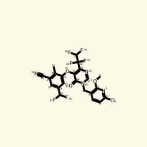 COc1nc(Cl)ccc1Cn1cnc(C(F)(F)C(F)F)c(Oc2cc(C(F)F)cc(C#N)c2C)c1=O